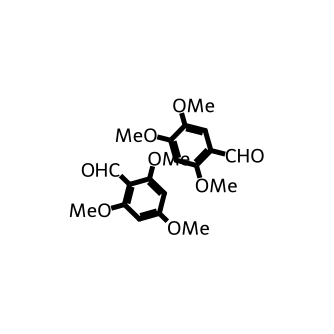 COc1cc(OC)c(C=O)c(OC)c1.COc1cc(OC)c(OC)cc1C=O